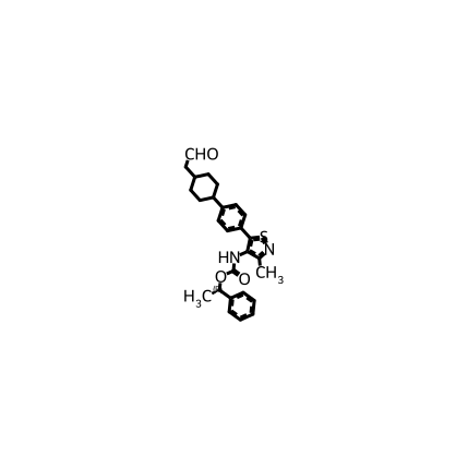 Cc1nsc(-c2ccc(C3CCC(CC=O)CC3)cc2)c1NC(=O)O[C@H](C)c1ccccc1